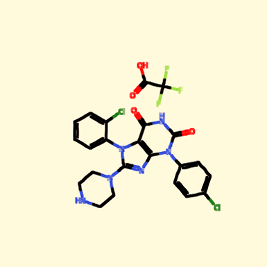 O=C(O)C(F)(F)F.O=c1[nH]c(=O)n(-c2ccc(Cl)cc2)c2nc(N3CCNCC3)n(-c3ccccc3Cl)c12